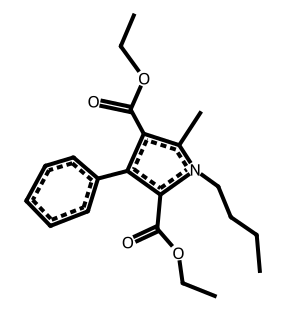 CCCCn1c(C)c(C(=O)OCC)c(-c2ccccc2)c1C(=O)OCC